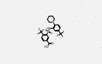 O=C(O)c1ccc(C(F)(F)F)c(S(=O)(=O)Nc2cc(C(F)(F)F)ccc2N2CCCCC2)c1